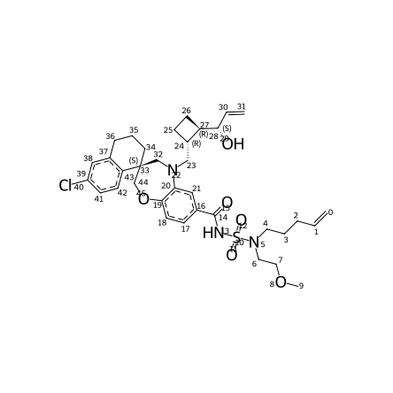 C=CCCCN(CCOC)S(=O)(=O)NC(=O)c1ccc2c(c1)N(C[C@@H]1CC[C@H]1[C@@H](O)C=C)C[C@@]1(CCCc3cc(Cl)ccc31)CO2